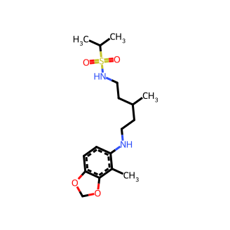 Cc1c(NCCC(C)CCNS(=O)(=O)C(C)C)ccc2c1OCO2